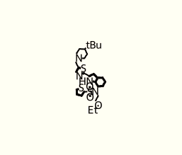 CCOCCN(c1cccc2cc(-c3ncc(CN4CCC(C(C)(C)C)CC4)s3)[nH]c12)S(=O)(=O)c1cccs1